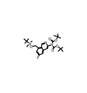 CC(C)(C)OC(=O)N(C(=O)OC(C)(C)C)c1cc2cc(F)cc(CO[Si](C)(C)C(C)(C)C)c2cn1